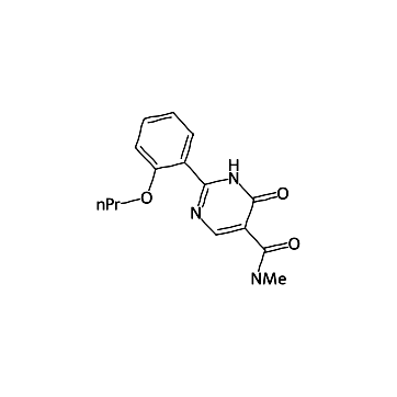 CCCOc1ccccc1-c1ncc(C(=O)NC)c(=O)[nH]1